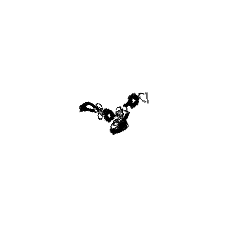 O=S(=O)(c1ccc(S(=O)(=O)N(Cc2ccc(Cl)cc2)Cc2ccco2)cc1)N1CCCCCC1